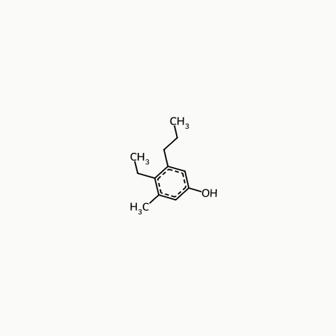 CCCc1cc(O)cc(C)c1CC